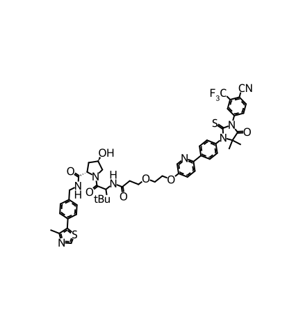 Cc1ncsc1-c1ccc(CNC(=O)[C@@H]2C[C@@H](O)CN2C(=O)C(NC(=O)CCOCCOc2ccc(-c3ccc(N4C(=S)N(c5ccc(C#N)c(C(F)(F)F)c5)C(=O)C4(C)C)cc3)nc2)C(C)(C)C)cc1